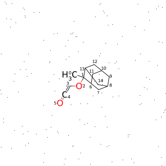 CC1(O[C]=C=O)C2CC3CC(C2)CC1C3